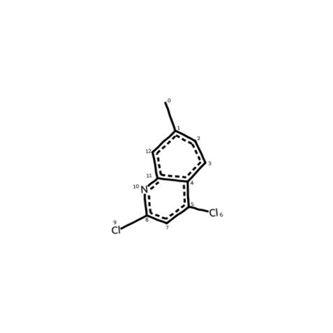 Cc1ccc2c(Cl)cc(Cl)nc2c1